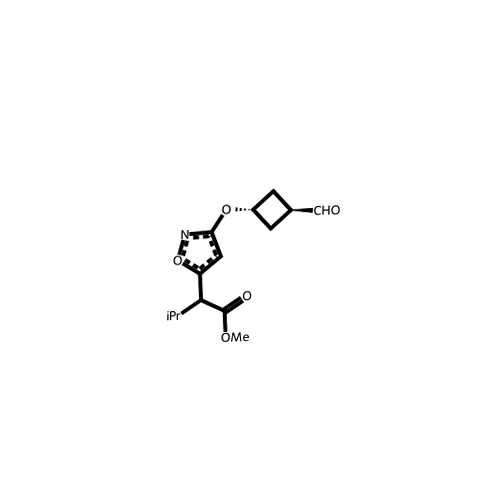 COC(=O)C(c1cc(O[C@H]2C[C@H](C=O)C2)no1)C(C)C